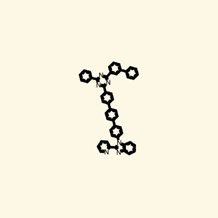 c1ccc(-c2cccc(-c3nc(-c4ccccc4)nc(-c4ccc(-c5ccc(-c6ccc(-n7c(-c8ccccn8)nc8ccccc87)cc6)cc5)cc4)n3)c2)cc1